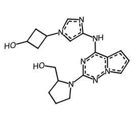 OCC1CCCN1c1nc(Nc2cn(C3CC(O)C3)cn2)c2cccn2n1